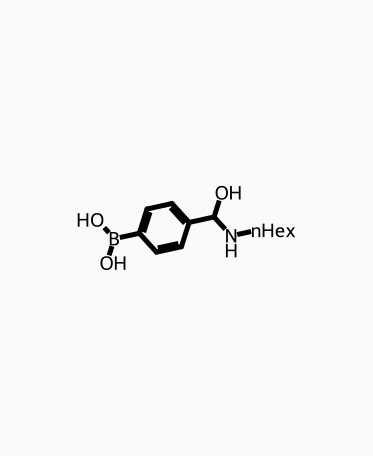 CCCCCCNC(O)c1ccc(B(O)O)cc1